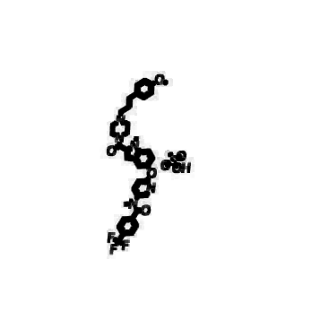 COc1ccc(C=CCN2CCN(C(=O)c3cc4cc(Oc5ccc(N(C)C(=O)c6ccc(C(F)(F)F)cc6)cn5)ccc4n3C)CC2)cc1.CS(=O)(=O)O